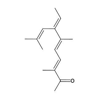 C/C=C(C=C(C)C)/C(C)=C/C=C(\C)C(C)=O